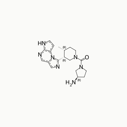 C[C@@H]1CCN(C(=O)N2CC[C@@H](N)C2)C[C@@H]1c1ncc2cnc3[nH]ccc3n12